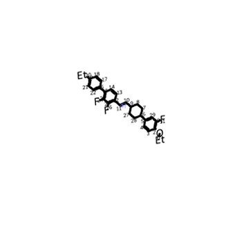 CCOc1ccc(C2CCC(/C=C/c3ccc(-c4ccc(CC)cc4)c(F)c3F)CC2)cc1F